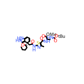 COC(=O)C(CNC(=O)OC(C)(C)C)NC(=O)c1sc(NC(=O)CC2([C@@H]3CCCCO3)C=CC=C3NNC=C32)nc1C